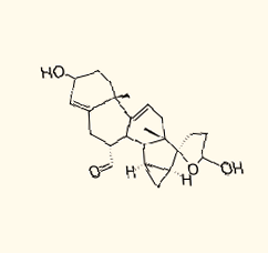 C[C@]12CCC(O)C=C1C[C@@H](C=O)C1C2=CC[C@@]2(C)C1[C@@H]1C[C@@H]1[C@@]21CCC(O)O1